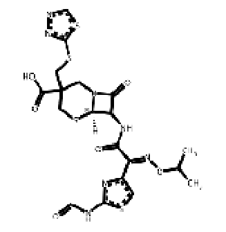 CC(C)ON=C(C(=O)NC1C(=O)N2CC(CSc3nncs3)(C(=O)O)CS[C@H]12)c1csc(NC=O)n1